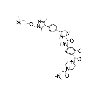 Cc1nn(COCC[Si](C)(C)C)c(C)c1-c1ccc(-c2cnc(C(=O)Nc3ccc(C(=O)N4CCN(C(=O)CN(C)C)CC4)c(Cl)c3)n2C)cc1